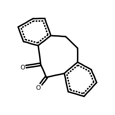 O=C1C(=O)c2ccccc2CCc2ccccc21